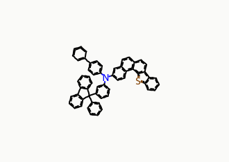 C1=C=CC(c2ccc(N(c3cccc(C4(c5ccccc5)c5ccccc5-c5ccccc54)c3)c3ccc4c(ccc5ccc6c7ccccc7sc6c54)c3)cc2)=CC=1